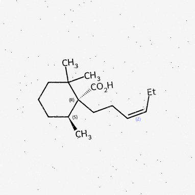 CC/C=C\CC[C@@]1(C(=O)O)[C@@H](C)CCCC1(C)C